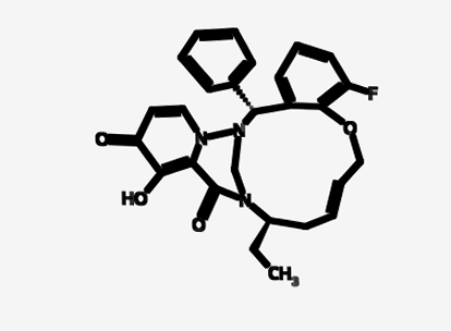 CC[C@@H]1C/C=C/COc2c(F)cccc2[C@@H](c2ccccc2)N2CN1C(=O)c1c(O)c(=O)ccn12